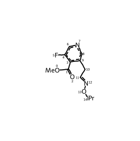 COC(=O)c1c(F)cncc1C/C=N/OC(C)C